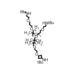 C[C@@H](OCCCOCCNC(C)(C)C)C(C)(C)C[C@H](OCCCOCCNC(C)(C)C)C(C)(C)C(C)(C)COCCO[C@H]1C[C@@H](NC(C)(C)C)C1